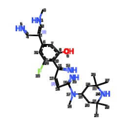 CN/C=C(\C=N)c1cc(O)c(C(=N)/C=C\C(=N)N(C)C2CC(C)(C)NC(C)(C)C2)c(F)c1